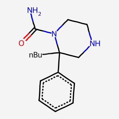 CCCCC1(c2ccccc2)CNCCN1C(N)=O